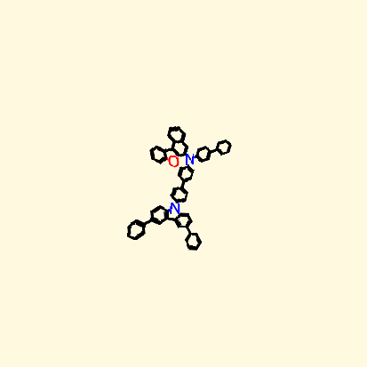 c1ccc(-c2ccc(N(c3ccc(-c4ccc(-n5c6ccc(-c7ccccc7)cc6c6cc(-c7ccccc7)ccc65)cc4)cc3)c3cc4ccccc4c4c3oc3ccccc34)cc2)cc1